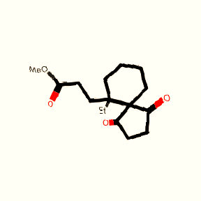 CCC1(CCC(=O)OC)CCCCC12C(=O)CCC2=O